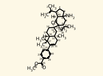 C=C(C)C1CCC2(N)CC[C@@](N)([C@]3(C)CC[C@H]4C(C)(C)C(c5ccc(C(=O)OC)cc5)=CC[C@]4(C)[C@H]3CCC)C[C@@H]12